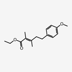 CCOC(=O)/C(C)=C(\C)CCc1ccc(OC)cc1